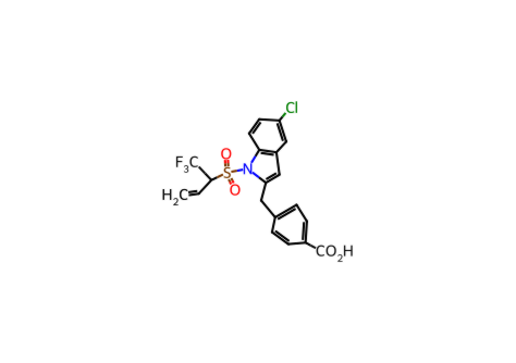 C=CC(C(F)(F)F)S(=O)(=O)n1c(Cc2ccc(C(=O)O)cc2)cc2cc(Cl)ccc21